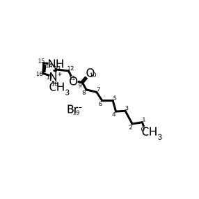 CCCCCCCCCC(=O)OCc1[nH]cc[n+]1C.[Br-]